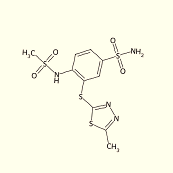 Cc1nnc(Sc2cc(S(N)(=O)=O)ccc2NS(C)(=O)=O)s1